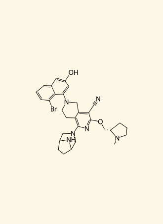 CN1CCC[C@H]1COc1nc(N2CC3CCC(C2)N3)c2c(c1C#N)CN(c1cc(O)cc3cccc(Br)c13)CC2